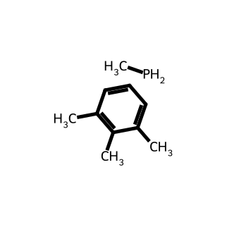 CP.Cc1cccc(C)c1C